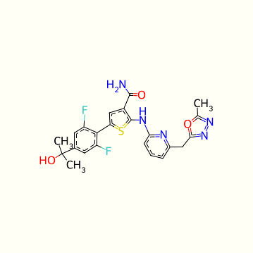 Cc1nnc(Cc2cccc(Nc3sc(-c4c(F)cc(C(C)(C)O)cc4F)cc3C(N)=O)n2)o1